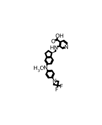 CN(c1ccc(N2CC(F)(F)C2)cc1)c1ccc2c(c1)CC[C@H]2CNc1cnccc1C(=O)O